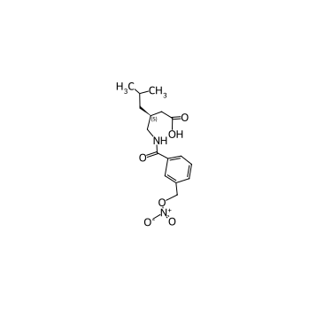 CC(C)C[C@H](CNC(=O)c1cccc(CO[N+](=O)[O-])c1)CC(=O)O